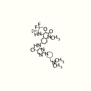 CN(C)C[C@@H]1CCCN(c2ncc(Cl)c(Nc3ccc4c(c3)c3c(c(=O)n4C)OCC(F)(F)[C@H](C4CC4)N3)n2)C1